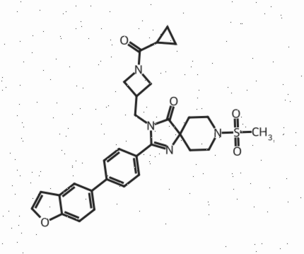 CS(=O)(=O)N1CCC2(CC1)N=C(c1ccc(-c3ccc4occc4c3)cc1)N(CC1CN(C(=O)C3CC3)C1)C2=O